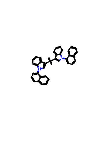 CC(C)(c1cn(-c2cccc3ccccc23)c2ccccc12)c1cn(-c2cccc3ccccc23)c2ccccc12